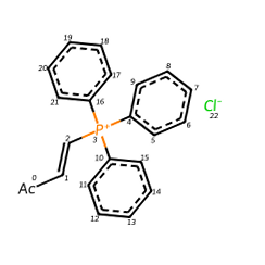 CC(=O)C=C[P+](c1ccccc1)(c1ccccc1)c1ccccc1.[Cl-]